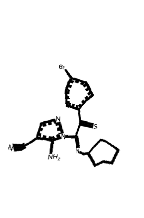 N#Cc1cnn(C(=NC2CCCC2)C(=S)c2ccc(Br)cc2)c1N